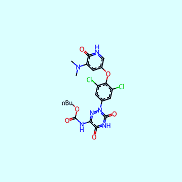 CCCCOC(=O)Nc1nn(-c2cc(Cl)c(Oc3c[nH]c(=O)c(N(C)C)c3)c(Cl)c2)c(=O)[nH]c1=O